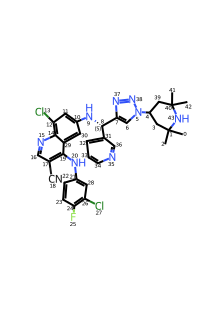 CC1(C)CC(n2cc([C@@H](Nc3cc(Cl)c4ncc(C#N)c(Nc5ccc(F)c(Cl)c5)c4c3)c3cccnc3)nn2)CC(C)(C)N1